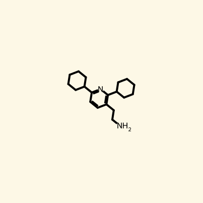 NCCc1ccc(C2CCCCC2)nc1C1CCCCC1